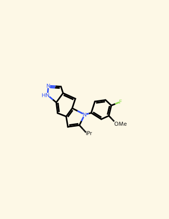 COc1cc(-n2c(C(C)C)cc3cc4[nH]ncc4cc32)ccc1F